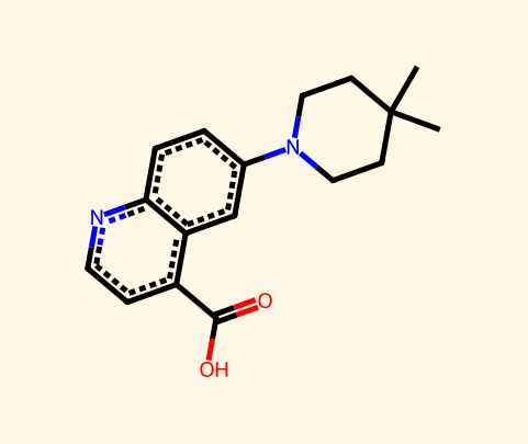 CC1(C)CCN(c2ccc3nccc(C(=O)O)c3c2)CC1